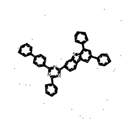 c1ccc(-c2ccc(-c3nc(-c4ccccc4)nc(-c4ccc5c(c4)sc4c(-c6ccccc6)cc(-c6ccccc6)cc45)n3)cc2)cc1